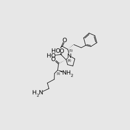 NCCCC[C@H](N)C(=O)[C@@]1(C(=O)O)CCCN1[C@@H](CCc1ccccc1)C(=O)O